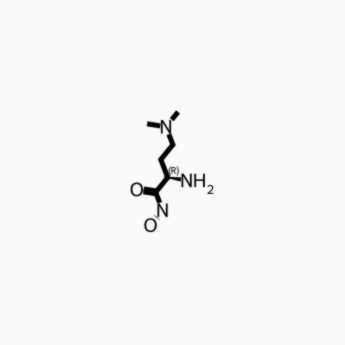 CN(C)CC[C@@H](N)C(=O)N=O